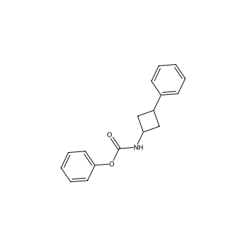 O=C(NC1CC(c2ccccc2)C1)Oc1ccccc1